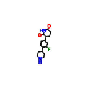 O=C1CCC(c2ccc(C3CCNCC3)c(F)c2)C(=O)N1